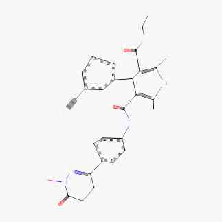 C#Cc1cccc(C2C(C(=O)Nc3ccc(C4=N[NH+]([O-])C(=O)CC4)cc3)=C(C)NC(N)=C2C(=O)OCC)c1